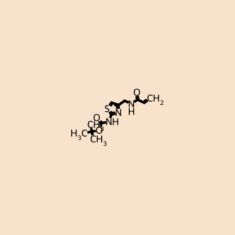 C=CC(=O)NCc1csc(NC(=O)OC(C)(C)C)n1